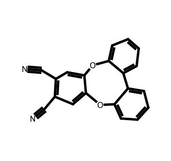 N#Cc1cc2oc3ccccc3c3ccccc3oc2cc1C#N